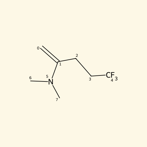 C=C(CCC(F)(F)F)N(C)C